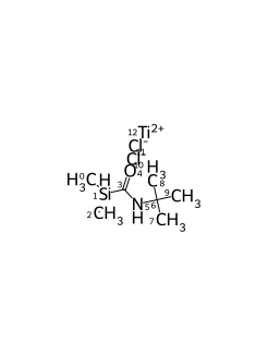 C[SiH](C)C(=O)NC(C)(C)C.[Cl-].[Cl-].[Ti+2]